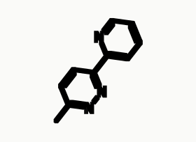 Cc1ccc(-c2ccccn2)nn1